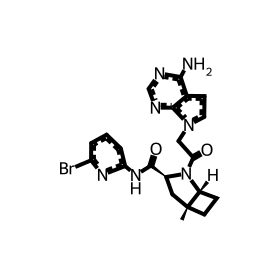 C[C@]12CC[C@H]1N(C(=O)Cn1ccc3c(N)ncnc31)[C@H](C(=O)Nc1cccc(Br)n1)C2